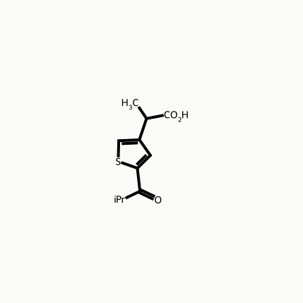 CC(C)C(=O)c1cc(C(C)C(=O)O)cs1